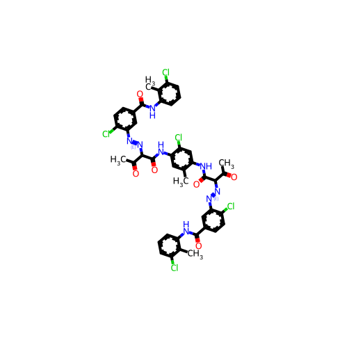 CC(=O)C(/N=N/c1cc(C(=O)Nc2cccc(Cl)c2C)ccc1Cl)C(=O)Nc1cc(Cl)c(NC(=O)C(/N=N/c2cc(C(=O)Nc3cccc(Cl)c3C)ccc2Cl)C(C)=O)cc1C